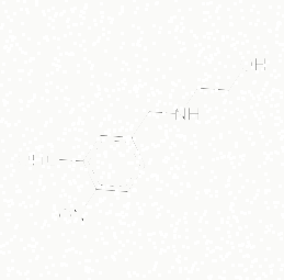 O=Cc1cc(CNCCO)ccc1N=O